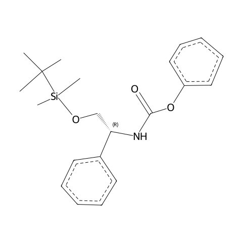 CC(C)(C)[Si](C)(C)OC[C@H](NC(=O)Oc1ccccc1)c1ccccc1